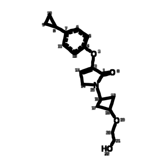 O=C1C(Oc2ccc(C3CC3)cc2)=CCN1C1CC(OCCO)C1